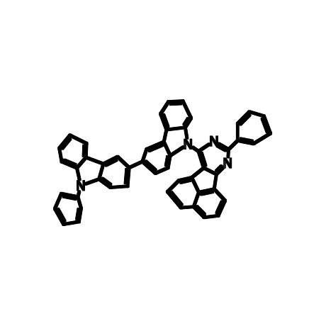 c1ccc(-c2nc3c(c(-n4c5ccccc5c5cc(-c6ccc7c(c6)c6ccccc6n7-c6ccccc6)ccc54)n2)-c2cccc4cccc-3c24)cc1